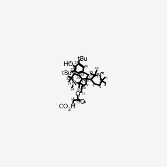 CN1C(C)(C)CCC(C(CCCOC(=O)CC(=O)O)(Cc2cc(C(C)(C)C)c(O)c(C(C)(C)C)c2)C2CCC(C)(C)N(C)C2(C)C)C1(C)C